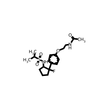 CC(=O)NCCOc1ccc(C2(F)CCCC2NS(=O)(=O)C(C)C)cc1